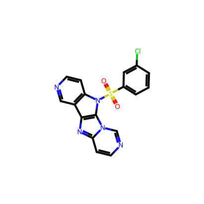 O=S(=O)(c1cccc(Cl)c1)n1c2ccncc2c2nc3ccncn3c21